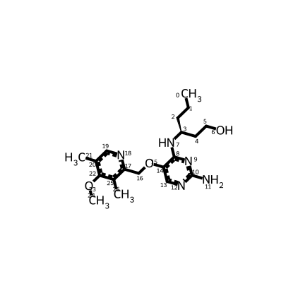 CCC[C@@H](CCO)Nc1nc(N)ncc1OCc1ncc(C)c(OC)c1C